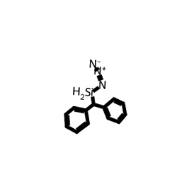 [N-]=[N+]=N[SiH2]C(c1ccccc1)c1ccccc1